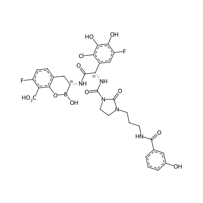 O=C(NCCCN1CCN(C(=O)N[C@H](C(=O)N[C@H]2Cc3ccc(F)c(C(=O)O)c3OB2O)c2cc(F)c(O)c(O)c2Cl)C1=O)c1cccc(O)c1